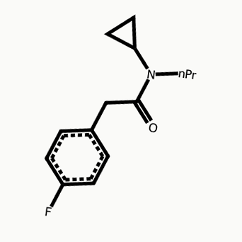 CCCN(C(=O)Cc1ccc(F)cc1)C1CC1